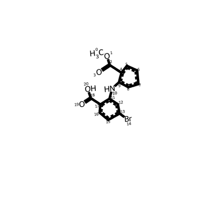 COC(=O)c1ccccc1Nc1cc(Br)ccc1C(=O)O